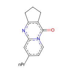 CCCc1ccn2c(=O)c3c(nc2c1)CCC3